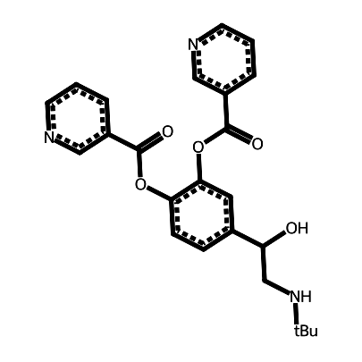 CC(C)(C)NCC(O)c1ccc(OC(=O)c2cccnc2)c(OC(=O)c2cccnc2)c1